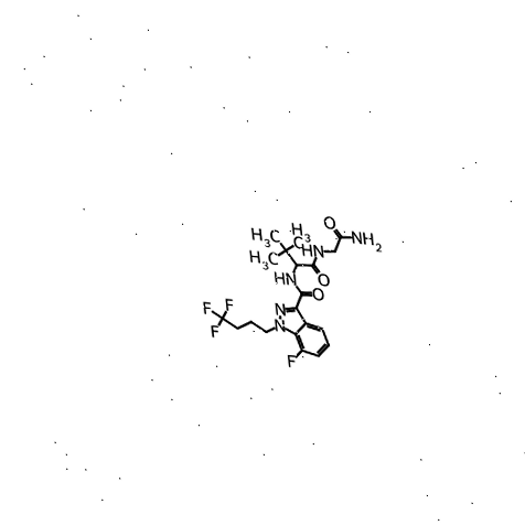 CC(C)(C)C(NC(=O)c1nn(CCCC(F)(F)F)c2c(F)cccc12)C(=O)NCC(N)=O